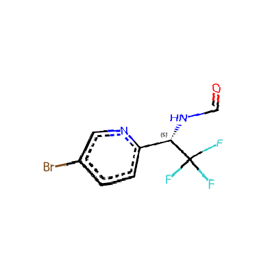 O=CN[C@@H](c1ccc(Br)cn1)C(F)(F)F